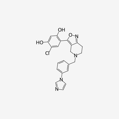 Oc1cc(O)c(-c2onc3c2CN(Cc2cccc(-n4ccnc4)c2)CC3)cc1Cl